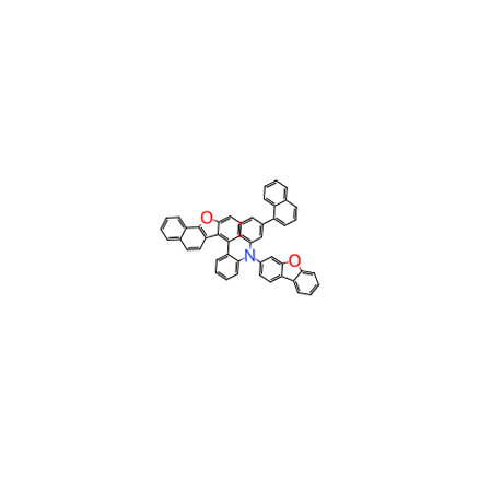 c1cc(-c2cccc3ccccc23)cc(N(c2ccc3c(c2)oc2ccccc23)c2ccccc2-c2cccc3oc4c5ccccc5ccc4c23)c1